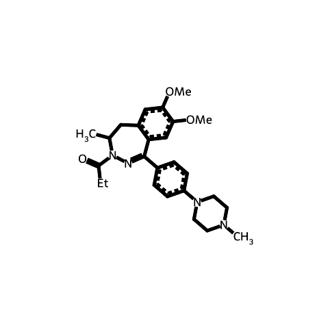 CCC(=O)N1N=C(c2ccc(N3CCN(C)CC3)cc2)c2cc(OC)c(OC)cc2CC1C